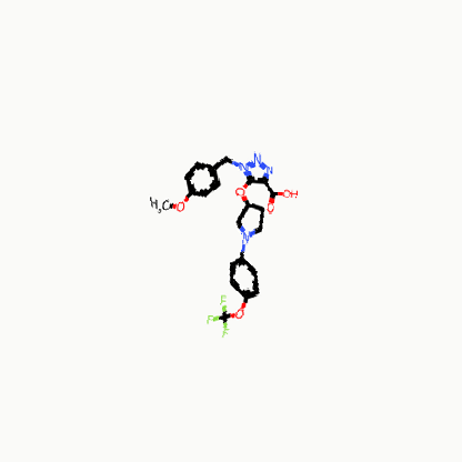 COc1ccc(Cn2nnc(C(=O)O)c2OC2CCN(c3ccc(OC(F)(F)F)cc3)C2)cc1